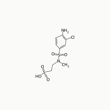 CN(CCS(=O)(=O)O)S(=O)(=O)c1ccc(N)c(Cl)c1